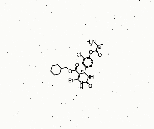 CCC1=C(C(=O)OCC2CCCCC2)[C@H](c2ccc(OC(=O)[C@H](C)N)c(Cl)c2)NC(=O)N1